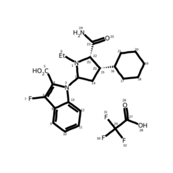 CCN1C(n2c(C(=O)O)c(F)c3ccccc32)C[C@@H](C2CCCCC2)[C@H]1C(N)=O.O=C(O)C(F)(F)F